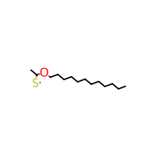 CCCCCCCCCCCCOC(C)[S]